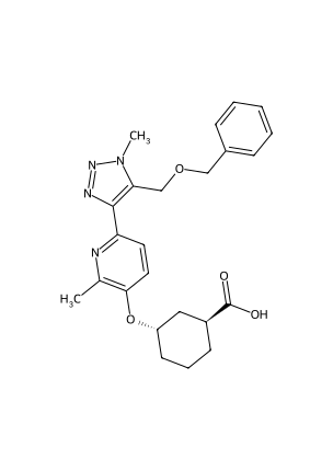 Cc1nc(-c2nnn(C)c2COCc2ccccc2)ccc1O[C@H]1CCC[C@H](C(=O)O)C1